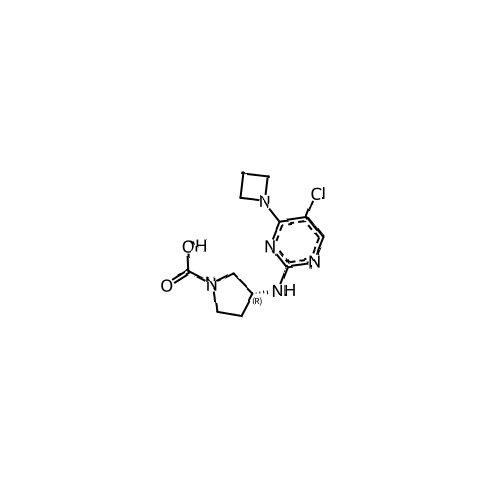 O=C(O)N1CC[C@@H](Nc2ncc(Cl)c(N3CCC3)n2)C1